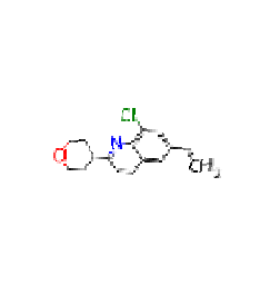 C=Cc1cc(Cl)c2nc(C3CCOCC3)ccc2c1